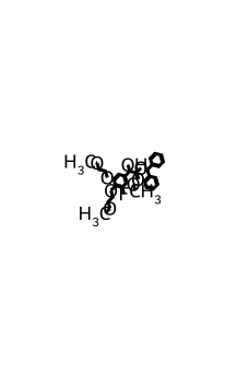 COCCOc1cc(C(O)C(=O)OC(c2ccccc2)c2ccccc2)c(OC)c(F)c1OCCOC